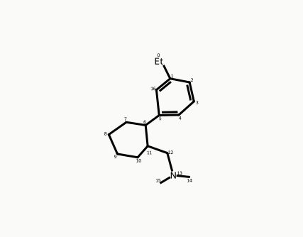 CCc1cccc(C2CCCCC2CN(C)C)c1